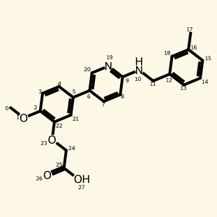 COc1ccc(-c2ccc(NCc3cccc(C)c3)nc2)cc1OCC(=O)O